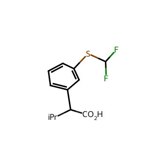 CC(C)C(C(=O)O)c1cccc(SC(F)F)c1